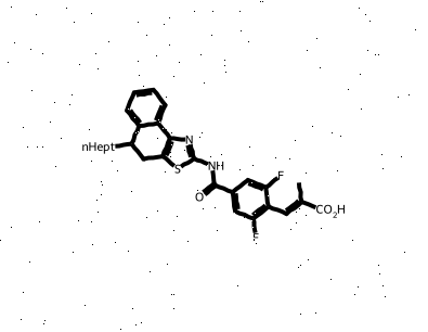 CCCCCCCC1Cc2sc(NC(=O)c3cc(F)c(C=C(C)C(=O)O)c(F)c3)nc2-c2ccccc21